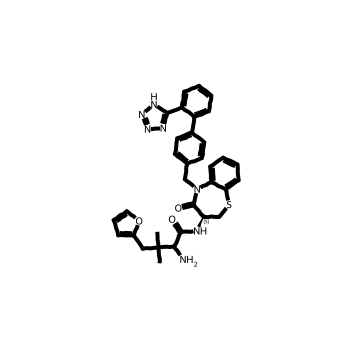 CC(C)(Cc1ccco1)C(N)C(=O)N[C@@H]1CSc2ccccc2N(Cc2ccc(-c3ccccc3-c3nnn[nH]3)cc2)C1=O